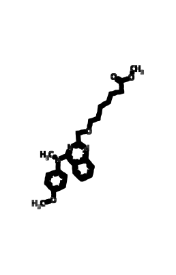 COC(=O)CCCCCCOCc1nc(N(C)c2ccc(OC)cc2)c2ccccc2n1